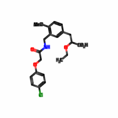 COc1ccc(CC(OCC(F)(F)F)C(=O)O)cc1CNC(=O)COc1ccc(Cl)cc1